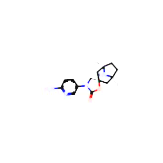 Nc1ccc(N2C[C@]3(C[C@H]4CC[C@@H](C3)N4)OC2=O)cn1